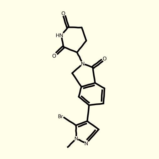 Cn1ncc(-c2ccc3c(c2)CN(C2CCC(=O)NC2=O)C3=O)c1Br